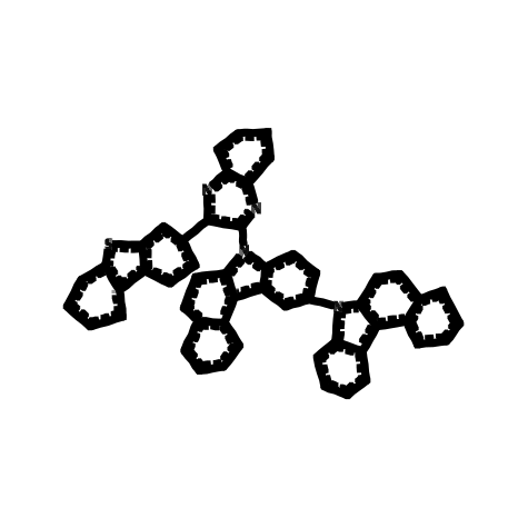 c1ccc2c(c1)ccc1c2c2ccccc2n1-c1ccc2c(c1)c1c3ccccc3ccc1n2-c1nc2ccccc2nc1-c1ccc2c(c1)sc1ccccc12